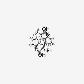 CC(C)c1nc2cc(CC(C)c3cc4ncccc4nc3O)ccc2nc1O